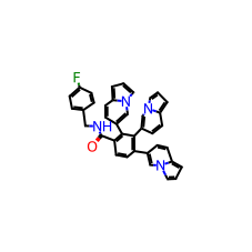 O=C(NCc1ccc(F)cc1)c1ccc(-c2ccc3cccn3c2)c(-c2ccc3cccn3c2)c1-c1ccc2cccn2c1